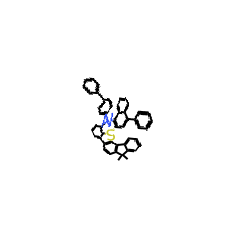 CC1(C)c2ccccc2-c2c1ccc1c2sc2c(N(c3ccc(-c4ccccc4)cc3)c3ccc(-c4ccccc4)c4ccccc34)cccc21